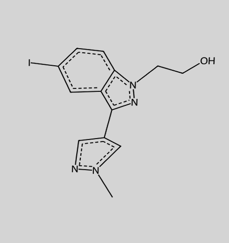 Cn1cc(-c2nn(CCO)c3ccc(I)cc23)cn1